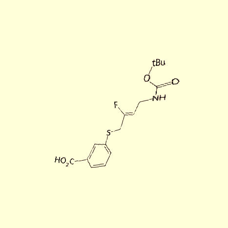 CC(C)(C)OC(=O)NCC=C(F)CSc1cccc(C(=O)O)c1